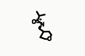 CC(C)[S+]([O-])N=CC1CCOCC1